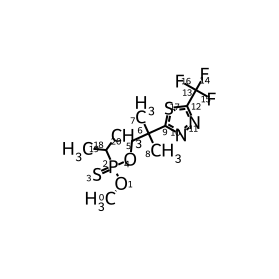 COP(=S)(OCC(C)(C)c1nnc(C(F)(F)F)s1)C(C)C